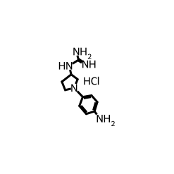 Cl.N=C(N)NC1CCN(c2ccc(N)cc2)C1